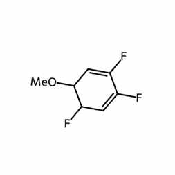 COC1C=C(F)C(F)=CC1F